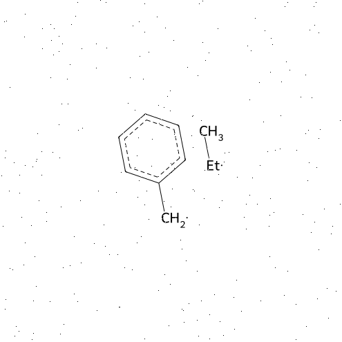 C[CH]C.[CH2]c1ccccc1